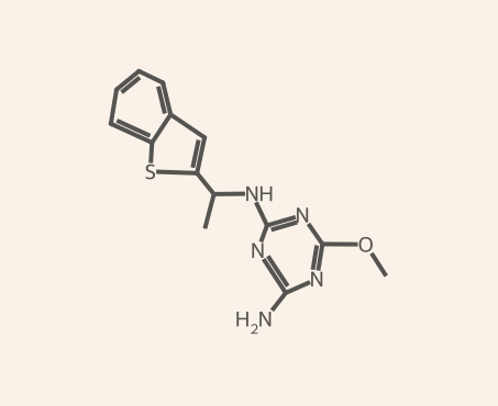 COc1nc(N)nc(NC(C)c2cc3ccccc3s2)n1